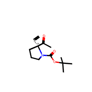 C=C[C@@]1(C(C)=O)CCCN1C(=O)OC(C)(C)C